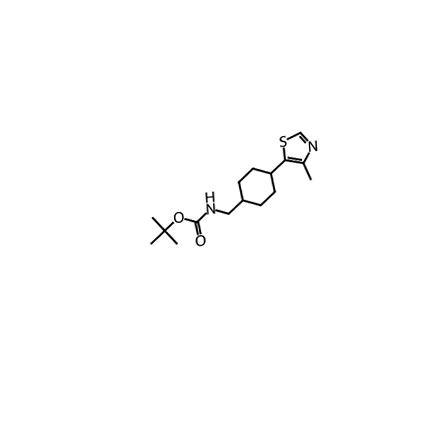 Cc1ncsc1C1CCC(CNC(=O)OC(C)(C)C)CC1